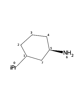 CC(C)C1CCC[C@@H](N)C1